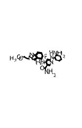 COCCn1cc2c(Nc3c(C(N)=O)cnc(N[C@@H]4CCCC[C@@H]4N)c3F)cccc2n1